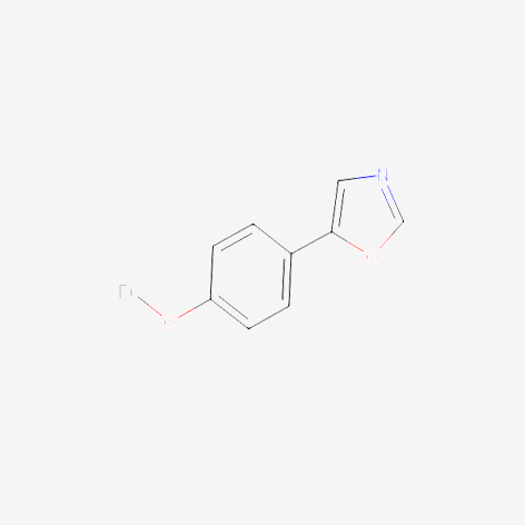 CCOc1ccc(-c2cnco2)cc1